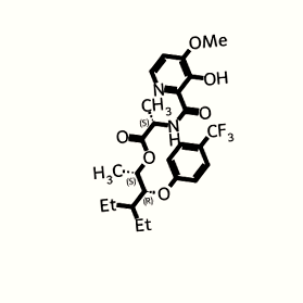 CCC(CC)[C@@H](Oc1ccc(C(F)(F)F)cc1)[C@H](C)OC(=O)[C@H](C)NC(=O)c1nccc(OC)c1O